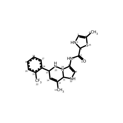 CC1=CNC(C(=O)NC2=CNC3C(C)=CC(c4ccccc4C(F)(F)F)NN23)S1